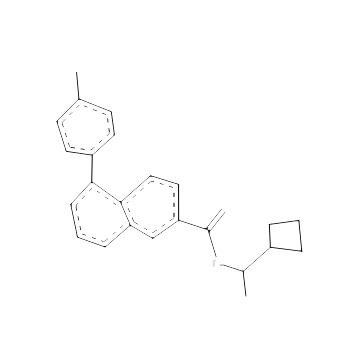 CC(NC(=O)c1ccc2c(-c3ccc(C(F)(F)F)cc3)cccc2c1)C1CCC1